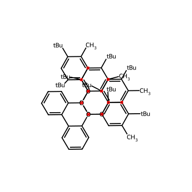 Cc1cc(OP(Oc2cc(C)c(C(C)(C)C)cc2C(C)(C)C)c2ccccc2-c2ccccc2P(Oc2cc(C)c(C(C)(C)C)cc2C(C)(C)C)Oc2cc(C)c(C(C)(C)C)cc2C(C)(C)C)c(C(C)(C)C)cc1C(C)(C)C